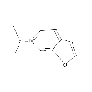 CC(C)[n+]1ccc2ccoc2c1